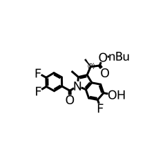 CCCCOC(=O)[C@H](C)c1c(C)n(C(=O)c2ccc(F)c(F)c2)c2cc(F)c(O)cc12